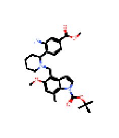 COC(=O)c1ccc(C2CCCCN2Cc2c(OC)cc(C)c3c2ccn3C(=O)OC(C)(C)C)c(N)c1